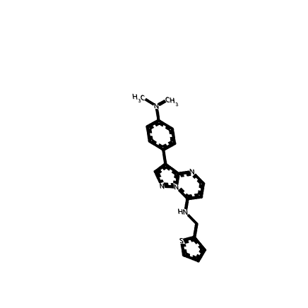 CN(C)c1ccc(-c2cnn3c(NCc4cccs4)ccnc23)cc1